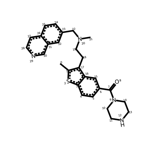 Cc1sc2ccc(C(=O)N3CCNCC3)cc2c1CCN(C)Cc1ccc2ccncc2c1